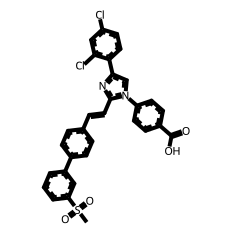 CS(=O)(=O)c1cccc(-c2ccc(C=Cc3nc(-c4ccc(Cl)cc4Cl)cn3-c3ccc(C(=O)O)cc3)cc2)c1